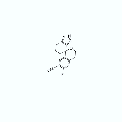 N#Cc1cc2c(cc1F)CCOC21CCCn2cncc21